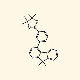 CC1(C)c2ccccc2-c2c(-c3cccc(B4OC(C)(C)C(C)(C)O4)c3)cccc21